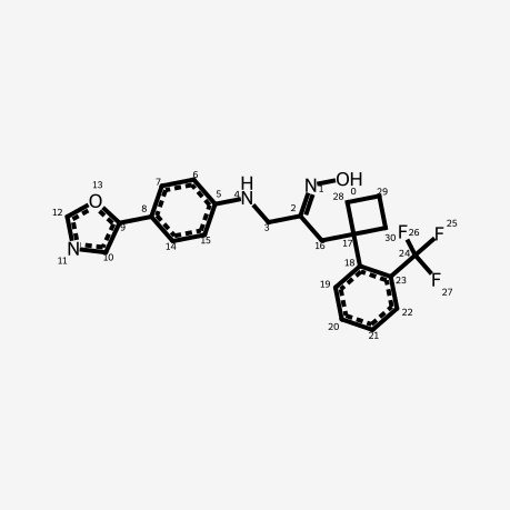 ON=C(CNc1ccc(-c2cnco2)cc1)CC1(c2ccccc2C(F)(F)F)CCC1